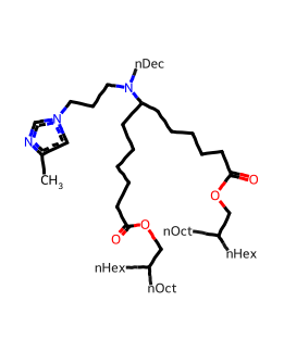 CCCCCCCCCCN(CCCn1cnc(C)c1)C(CCCCCC(=O)OCC(CCCCCC)CCCCCCCC)CCCCCC(=O)OCC(CCCCCC)CCCCCCCC